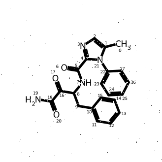 Cc1cnc(C(=O)NC(Cc2ccccc2)C(=O)C(N)=O)n1-c1ccccc1